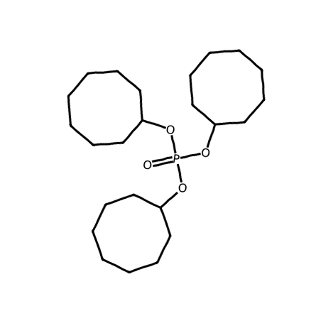 O=P(OC1CCCCCCC1)(OC1CCCCCCC1)OC1CCCCCCC1